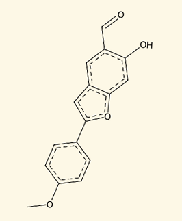 COc1ccc(-c2cc3cc(C=O)c(O)cc3o2)cc1